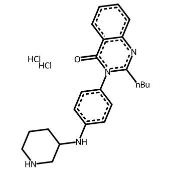 CCCCc1nc2ccccc2c(=O)n1-c1ccc(NC2CCCNC2)cc1.Cl.Cl